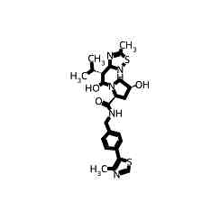 CC1=NC([C@@H](C(C)C)C(O)N2C[C@H](O)C[C@H]2C(=O)NCc2ccc(-c3scnc3C)cc2)NS1